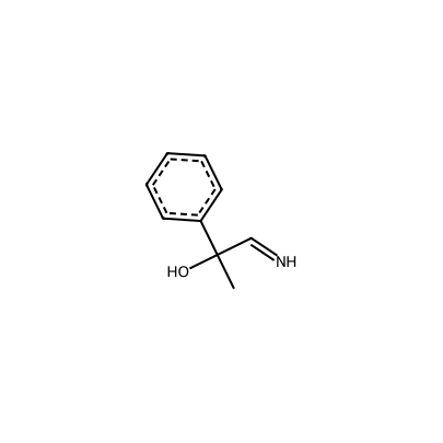 CC(O)(C=N)c1ccccc1